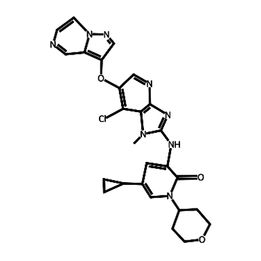 Cn1c(Nc2cc(C3CC3)cn(C3CCOCC3)c2=O)nc2ncc(Oc3cnn4ccncc34)c(Cl)c21